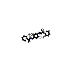 O=C(/C=C/c1cc(O)c(/C=C/C(=O)N2CCCCC2)cc1O)N1CCCCC1